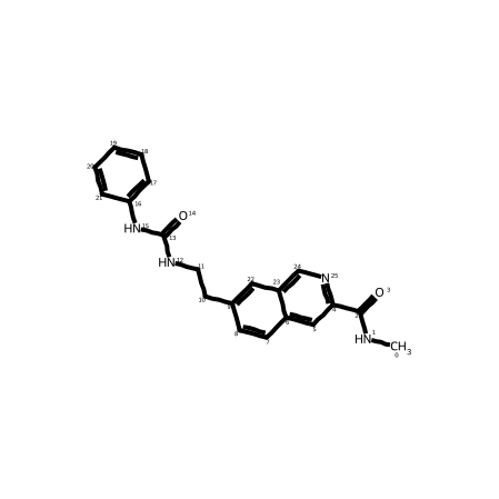 CNC(=O)c1cc2ccc(CCNC(=O)Nc3ccccc3)cc2cn1